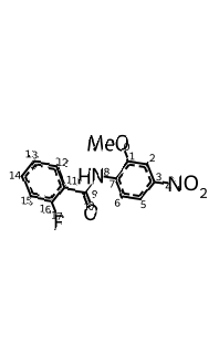 COc1cc([N+](=O)[O-])ccc1NC(=O)c1ccccc1F